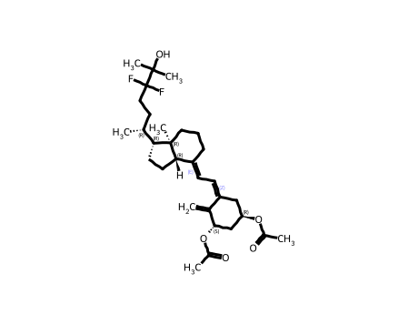 C=C1/C(=C\C=C2/CCC[C@]3(C)[C@@H]([C@H](C)CCC(F)(F)C(C)(C)O)CC[C@@H]23)C[C@@H](OC(C)=O)C[C@@H]1OC(C)=O